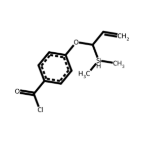 C=CC(Oc1ccc(C(=O)Cl)cc1)[SiH](C)C